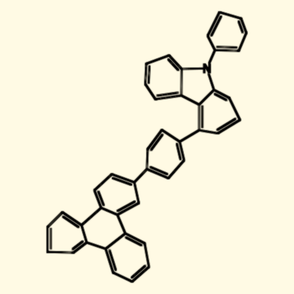 c1ccc(-n2c3ccccc3c3c(-c4ccc(-c5ccc6c7ccccc7c7ccccc7c6c5)cc4)cccc32)cc1